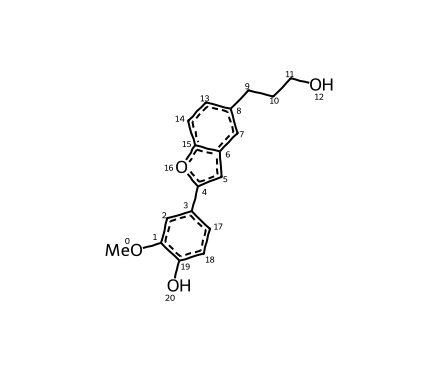 COc1cc(-c2cc3cc(CCCO)ccc3o2)ccc1O